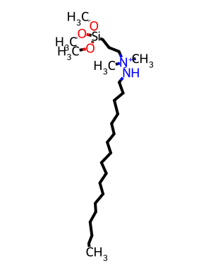 CCCCCCCCCCCCCCCCCCN[N+](C)(C)CCC[Si](OC)(OC)OC